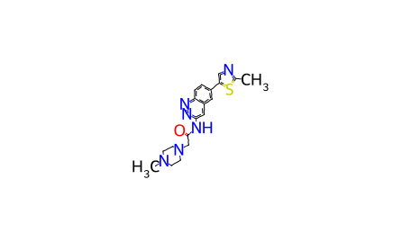 Cc1ncc(-c2ccc3nnc(NC(=O)CN4CCN(C)CC4)cc3c2)s1